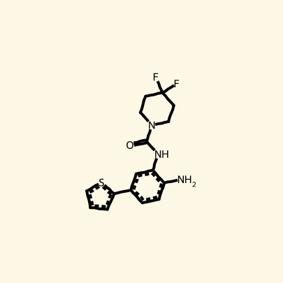 Nc1ccc(-c2cccs2)cc1NC(=O)N1CCC(F)(F)CC1